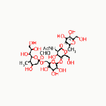 CC(=O)NC1C(O[C@H]2C(C)OC(CO)[C@@H](O)C2O)OC(CO)[C@@H](OC2OC(COC3(OC=O)CC(O)[C@@H](C)C(C(O)C(O)CO)O3)[C@H](O)C(O)[C@@H]2O)C1O